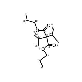 CCCOC(=O)C(C(=O)OCCC)(C(C)C)C(C)C